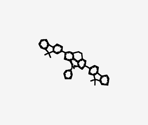 CC1(C)c2ccccc2-c2ccc(-c3cc4c5c6c(cc(-c7ccc8c(c7)C(C)(C)c7ccccc7-8)cc6n(-c6ccccc6)c5c3)CC4)cc21